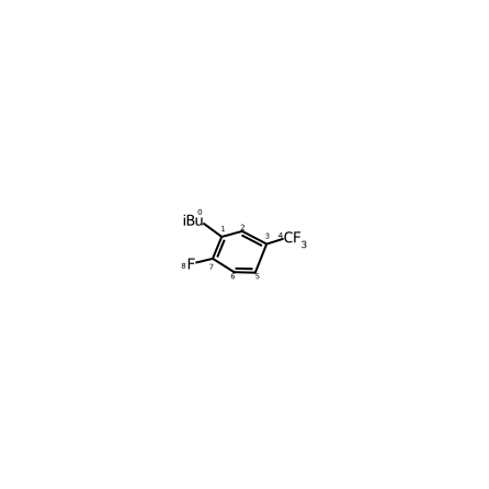 CCC(C)c1cc(C(F)(F)F)ccc1F